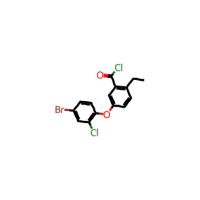 CCc1ccc(Oc2ccc(Br)cc2Cl)cc1C(=O)Cl